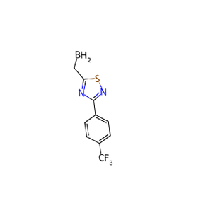 BCc1nc(-c2ccc(C(F)(F)F)cc2)ns1